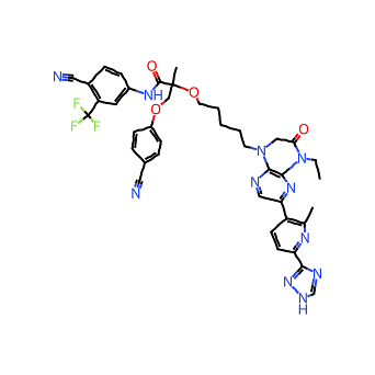 CCN1C(=O)CN(CCCCCOC(C)(COc2ccc(C#N)cc2)C(=O)Nc2ccc(C#N)c(C(F)(F)F)c2)c2ncc(-c3ccc(-c4nc[nH]n4)nc3C)nc21